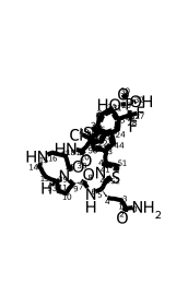 NC(=O)CC[C@H](NC(=O)[C@@H]1CC[C@@H]2CCNC[C@H](NC(=O)c3cc4cc(C(F)(F)P(=O)(O)O)ccc4s3)C(=O)N21)c1nc(-c2ccc(F)c(Cl)c2)cs1